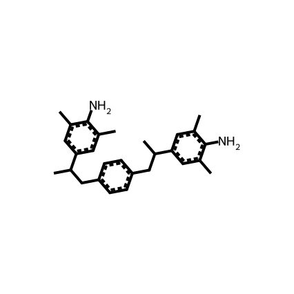 Cc1cc(C(C)Cc2ccc(CC(C)c3cc(C)c(N)c(C)c3)cc2)cc(C)c1N